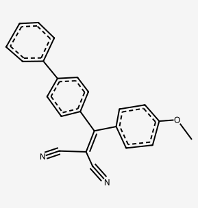 COc1ccc(C(=C(C#N)C#N)c2ccc(-c3ccccc3)cc2)cc1